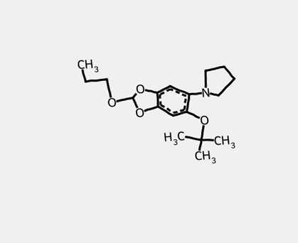 CCCOC1Oc2cc(OC(C)(C)C)c(N3CCCC3)cc2O1